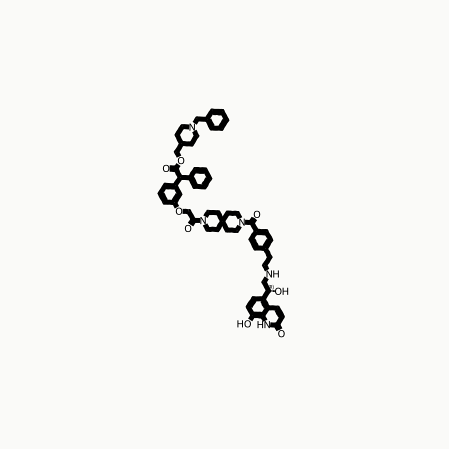 O=C(OCC1CCN(Cc2ccccc2)CC1)C(c1ccccc1)c1cccc(OCC(=O)N2CCC3(CC2)CCN(C(=O)c2ccc(CCNC[C@H](O)c4ccc(O)c5[nH]c(=O)ccc45)cc2)CC3)c1